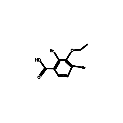 CCOc1c(Br)ccc(C(=O)O)c1Br